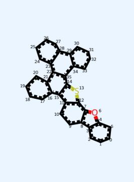 c1ccc2c(c1)oc1c2ccc2c1sc1c2c2ccccc2c2c3ccccc3c3ccccc3c12